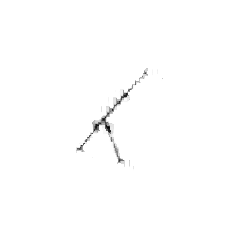 CCCCCCCCCCCCNC(=O)CCNCCCNCCCCN(CCC(=O)NCCCCCCCCCCCC)CCC(=O)NCCCCCCCCCCCC